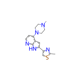 Cc1nc(-c2cc3c(N4CCN(C)CC4)ccnc3[nH]2)cs1